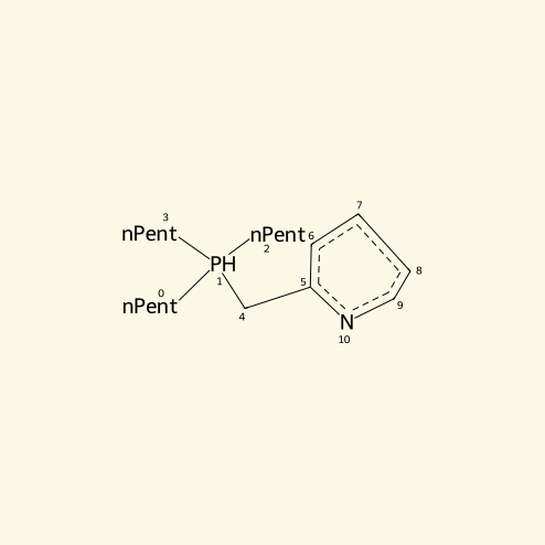 CCCCC[PH](CCCCC)(CCCCC)Cc1ccccn1